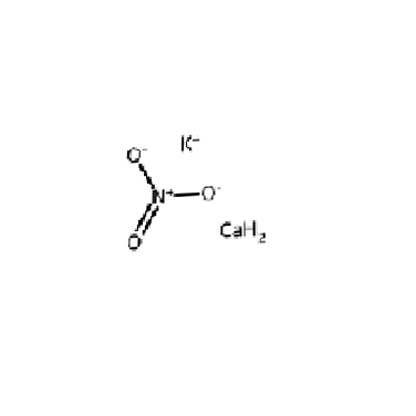 O=[N+]([O-])[O-].[CaH2].[K+]